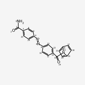 NC(=O)c1ccc(N=Nc2ccc(C(=O)n3c4ccc3cc4)cc2)cc1